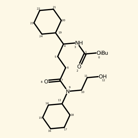 CC(C)COC(=O)NC(CCC(=O)N(CCO)C1CCCCC1)C1CCCCC1